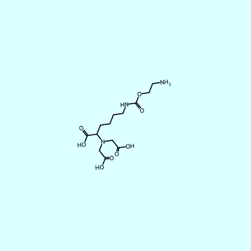 NCCOC(=O)NCCCCC(C(=O)O)N(CC(=O)O)CC(=O)O